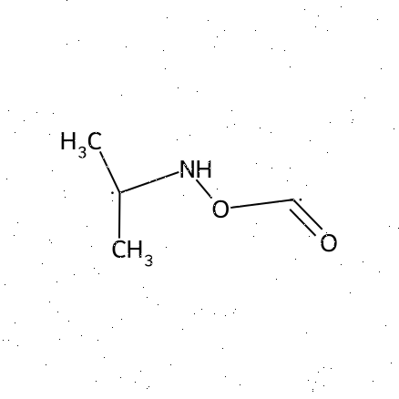 C[C](C)NO[C]=O